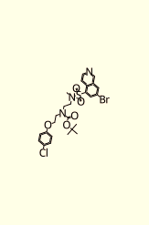 CN(CCN(CCOc1ccc(Cl)cc1)C(=O)OC(C)(C)C)S(=O)(=O)c1cc(Br)cc2cnccc12